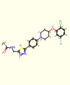 CC(C)C(=O)NCc1nnc(-c2ccc(N3CCC(Oc4cc(F)ccc4Cl)CC3)cc2)s1